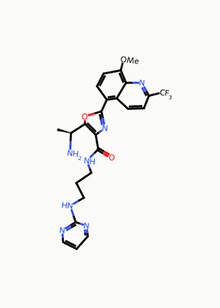 COc1ccc(-c2nc(C(=O)NCCCNc3ncccn3)c([C@H](C)N)o2)c2ccc(C(F)(F)F)nc12